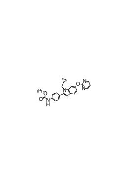 CC(C)OC(=O)Nc1ccc(-c2cc3ccc(Oc4ncccn4)cc3n2CC2CC2)cc1